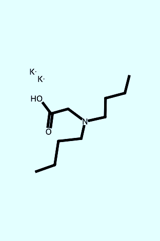 CCCCN(CCCC)CC(=O)O.[K].[K]